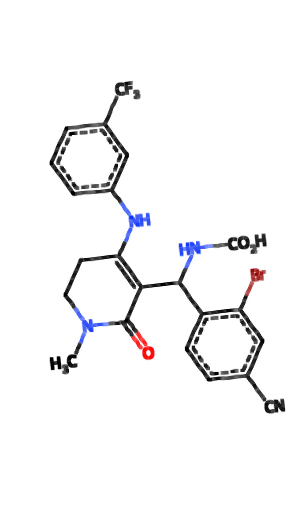 CN1CCC(Nc2cccc(C(F)(F)F)c2)=C(C(NC(=O)O)c2ccc(C#N)cc2Br)C1=O